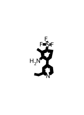 CCc1cc(-c2ccc(S(F)(F)F)c(C)c2N)ccn1